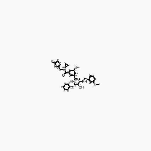 COc1cccc(CNC[C@@H](O)[C@H](Cc2ccccc2)NC(=O)c2cc(OC)cc(C(=O)N(Cc3nc(C)cs3)C3CC3)c2)c1